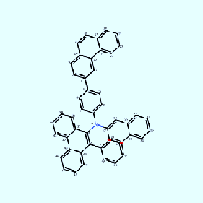 c1ccc(-c2c(N(c3ccc(-c4ccc5ccc6ccccc6c5c4)cc3)c3ccc4ccccc4c3)c3ccccc3c3ccccc23)cc1